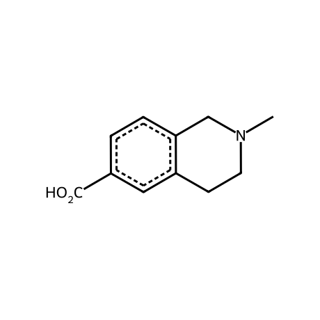 CN1CCc2cc(C(=O)O)ccc2C1